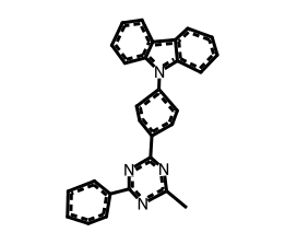 Cc1nc(-c2ccccc2)nc(-c2ccc(-n3c4ccccc4c4ccccc43)cc2)n1